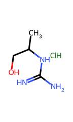 CC(CO)NC(=N)N.Cl